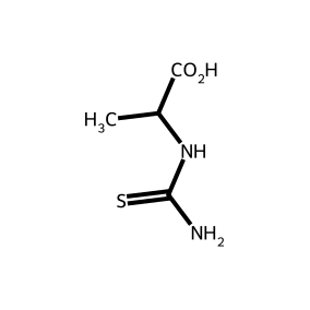 CC(NC(N)=S)C(=O)O